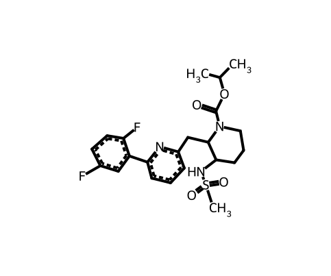 CC(C)OC(=O)N1CCCC(NS(C)(=O)=O)C1Cc1cccc(-c2cc(F)ccc2F)n1